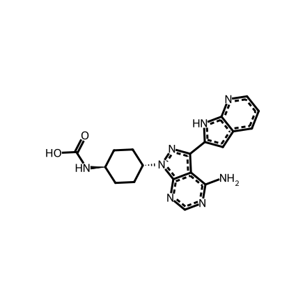 Nc1ncnc2c1c(-c1cc3cccnc3[nH]1)nn2[C@H]1CC[C@H](NC(=O)O)CC1